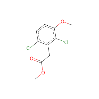 COC(=O)Cc1c(Cl)ccc(OC)c1Cl